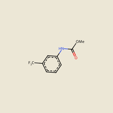 [CH2]OC(=O)Nc1cccc(C(F)(F)F)c1